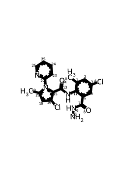 Cc1cc(Cl)cc(C(=O)NN)c1NC(=O)c1c(Cl)cc(C)n1-c1ccccn1